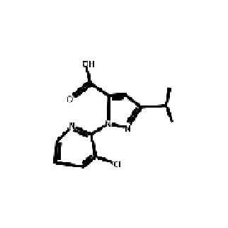 CC(C)c1cc(C(=O)O)n(-c2ncccc2Cl)n1